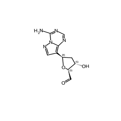 Nc1ncnc2c([C@H]3C[C@H](O)[C@@H](C=O)O3)cnn12